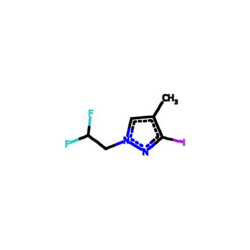 Cc1cn(CC(F)F)nc1I